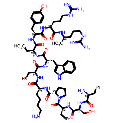 CC(C)C[C@H](NC(=O)[C@H](CO)NC(=O)[C@@H](N)CC(C)C)C(=O)N1CCC[C@H]1C(=O)N[C@@H](CCCCN)C(=O)N[C@@H](CS)C(=O)N[C@@H](Cc1c[nH]c2ccccc12)C(=O)N[C@@H](CC(=O)O)C(=O)N[C@@H](Cc1ccc(O)cc1)C(=O)N[C@@H](CCCNC(=N)N)C(=O)N[C@@H](CCCNC(=N)N)C(=O)O